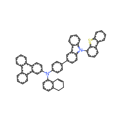 C1=Cc2c(cccc2N(c2ccc(-c3ccc4c(c3)c3ccccc3n4-c3cccc4c3sc3ccccc34)cc2)c2ccc3c4ccccc4c4ccccc4c3c2)CC1